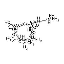 CC(C)[C@@H]1NC(=O)[C@H](Cc2ccc(F)cc2)NC(=O)[C@H](Cc2ccc(O)cc2)NC(=O)CCCSC[C@@H](C(=O)N2CCC[C@H]2C(=O)NCCCCNC(=N)N)NC(=O)[C@H](CC(N)=O)NC1=O